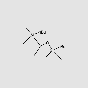 CCCC[Si](C)(C)C(C)O[Si](C)(C)C(C)CC